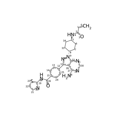 C=CC(=O)N[C@H]1CC[C@H](n2nc(-c3ccc(C(=O)Nc4nccs4)cc3)c3c(N)ncnc32)CC1